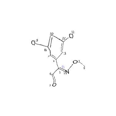 CO/N=C(/[C]=O)c1cc(Cl)cc(Cl)c1